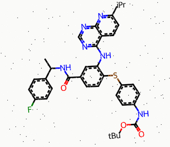 CC(C)c1ccc2c(Nc3cc(C(=O)NC(C)c4ccc(F)cc4)ccc3Sc3ccc(NC(=O)OC(C)(C)C)cc3)ncnc2n1